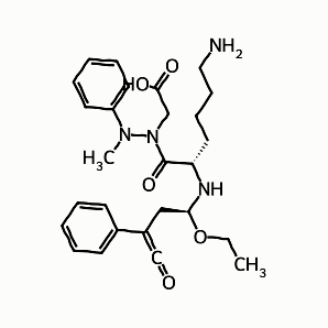 CCO[C@@H](CC(=C=O)c1ccccc1)N[C@@H](CCCCN)C(=O)N(CC(=O)O)N(C)c1ccccc1